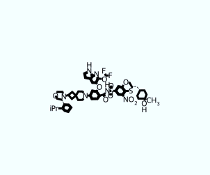 CC(C)c1ccccc1[C@@H]1COCCN1C1CC2(CCN(c3ccc(C(=O)NS(=O)(=O)c4cc5c(c([N+](=O)[O-])c4)S[C@@H](C[C@H]4CC[C@](C)(O)CC4)CO5)c(Oc4cc5cc[nH]c5nc4OC(F)F)c3)CC2)C1